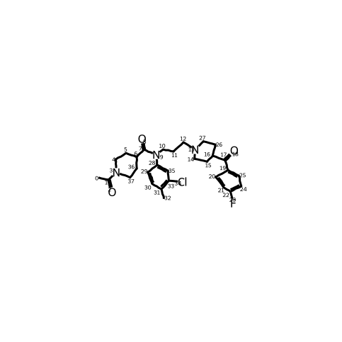 CC(=O)N1CCC(C(=O)N(CCCN2CCC(C(=O)c3ccc(F)cc3)CC2)c2ccc(C)c(Cl)c2)CC1